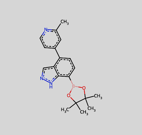 Cc1cc(-c2ccc(B3OC(C)(C)C(C)(C)O3)c3[nH]ncc23)ccn1